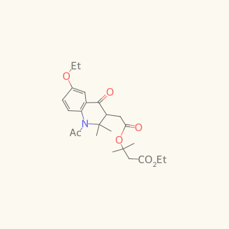 CCOC(=O)CC(C)(C)OC(=O)CC1C(=O)c2cc(OCC)ccc2N(C(C)=O)C1(C)C